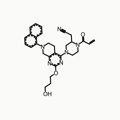 C=CC(=O)N1CCN(c2nc(OCCCO)nc3c2CCN(c2cccc4ccccc24)C3)CC1CC#N